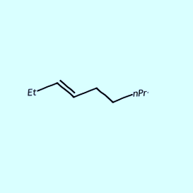 CC[CH]CCC=CCC